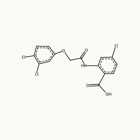 O=C(COc1ccc(Cl)c(Cl)c1)Nc1cc(Cl)ccc1C(=O)O